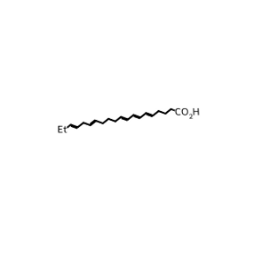 CCC=CCC=CCCCC=CC=CC=CCCCC(=O)O